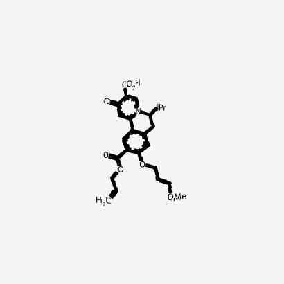 C=CCOC(=O)c1cc2c(cc1OCCCOC)CC(C(C)C)n1cc(C(=O)O)c(=O)cc1-2